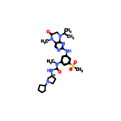 CC(C)N1CC(=O)N(C)c2cnc(Nc3cc(N(C)C(=O)N[C@H]4CCN(C5CCCC5)C4)cc(S(C)(=O)=O)c3)nc21